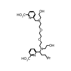 CC(C)CCC(c1cccc(C(=O)O)n1)N(CCO)CCOCCOCCN(CCO)Cc1cccc(C(=O)O)n1